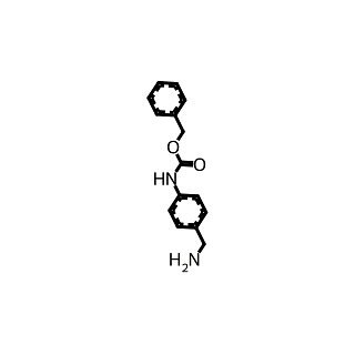 NCc1ccc(NC(=O)OCc2ccccc2)cc1